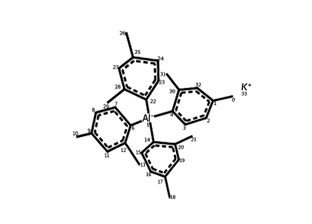 Cc1cc[c]([Al-]([c]2ccc(C)cc2C)([c]2ccc(C)cc2C)[c]2ccc(C)cc2C)c(C)c1.[K+]